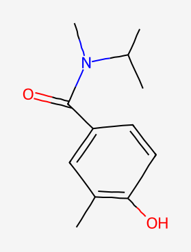 Cc1cc(C(=O)N(C)C(C)C)ccc1O